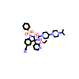 CCOc1ncccc1C1(NC(=O)N2CCC(N3CCN(C(C)C)CC3)CC2)C(=O)N(S(=O)(=O)c2ccccc2)c2ccc(C#N)cc21